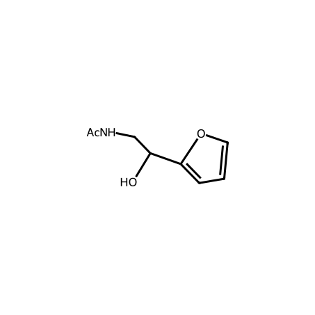 CC(=O)NCC(O)c1ccco1